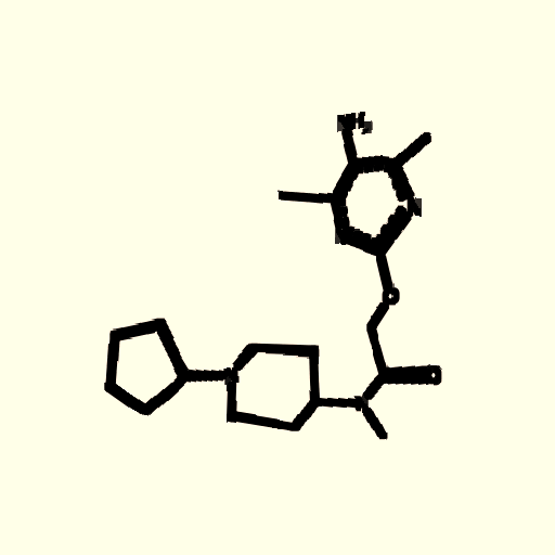 Cc1nc(OCC(=O)N(C)C2CCN(C3CCCC3)CC2)nc(C)c1N